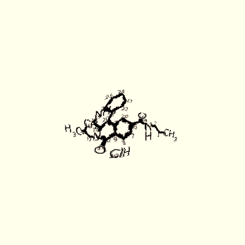 CCCNC(=O)c1ccc2c(=O)n(CC(C)C)c(CN)c(-c3ccccc3)c2c1.Cl